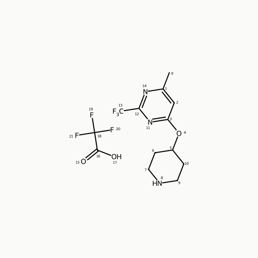 Cc1cc(OC2CCNCC2)nc(C(F)(F)F)n1.O=C(O)C(F)(F)F